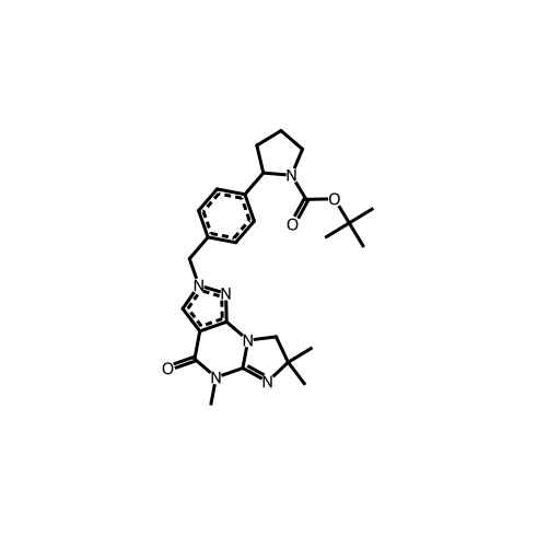 CN1C(=O)c2cn(Cc3ccc(C4CCCN4C(=O)OC(C)(C)C)cc3)nc2N2CC(C)(C)N=C12